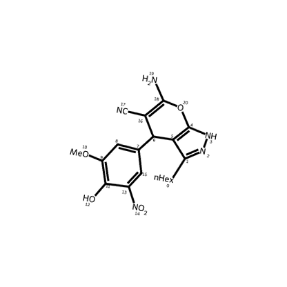 CCCCCCc1n[nH]c2c1C(c1cc(OC)c(O)c([N+](=O)[O-])c1)C(C#N)=C(N)O2